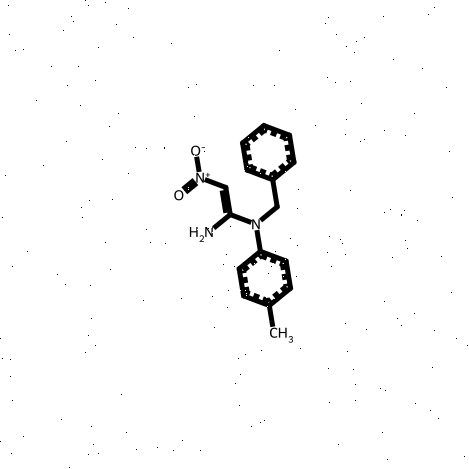 Cc1ccc(N(Cc2ccccc2)/C(N)=C/[N+](=O)[O-])cc1